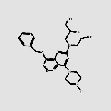 [O-][S+]1CCN(c2nc(N(CCO)CC(O)CO)nc3c(OCc4ccccc4)ncnc23)CC1